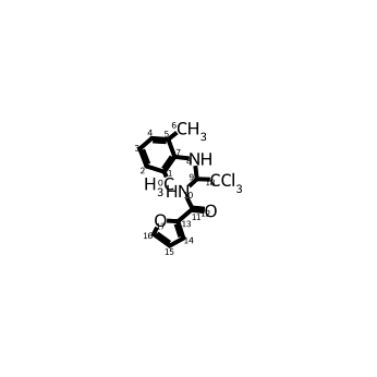 Cc1cccc(C)c1NC(NC(=O)c1ccco1)C(Cl)(Cl)Cl